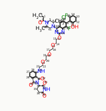 C=CC(=O)N1CC(C)N(c2nc(OCCOCCOCCOCCNc3cccc4c3C(=O)N(C3CCC(=O)NC3=O)C4=O)nc3c(F)c(-c4c(O)cccc4F)c(Cl)cc23)CC1C